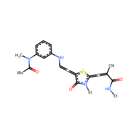 CCNC(=O)C(=C=c1sc(=C=CNc2cccc(N(C)C(=O)C(C)(C)C)c2)c(=O)n1CC)C#N